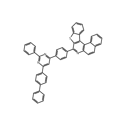 c1ccc(-c2ccc(-c3cc(-c4ccc(-c5nc6ccc7ccccc7c6c6c5sc5ccccc56)cc4)nc(-c4ccccc4)n3)cc2)cc1